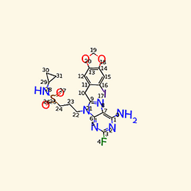 Nc1nc(F)nc2c1nc(Cc1cc3c(cc1I)OCO3)n2CCCS(=O)(=O)NC1CC1